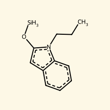 CCCn1c(O[SiH3])cc2ccccc21